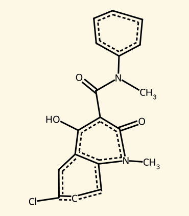 CN(C(=O)c1c(O)c2cc(Cl)ccc2n(C)c1=O)c1ccccc1